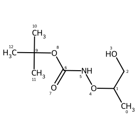 CC(CO)ONC(=O)OC(C)(C)C